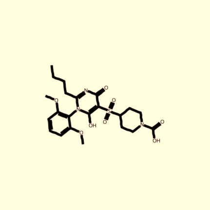 CCCCc1nc(=O)c(S(=O)(=O)C2CCN(C(=O)O)CC2)c(O)n1-c1c(OC)cccc1OC